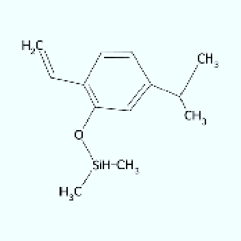 C=Cc1ccc(C(C)C)cc1O[SiH](C)C